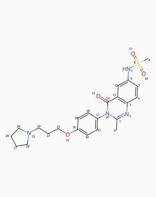 Cc1nc2ccc(NS(C)(=O)=O)cc2c(=O)n1-c1ccc(OCCCN2CCCC2)cc1